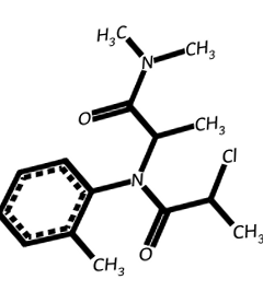 Cc1ccccc1N(C(=O)C(C)Cl)C(C)C(=O)N(C)C